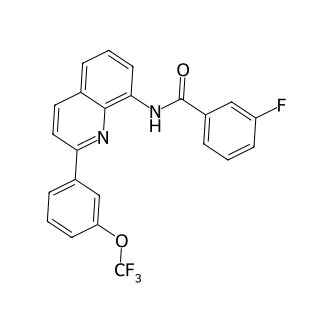 O=C(Nc1cccc2ccc(-c3cccc(OC(F)(F)F)c3)nc12)c1cccc(F)c1